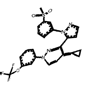 CS(=O)(=O)c1cccc(-n2nccc2C2=NN(c3cccc(OC(F)(F)F)c3)C=CC2=C2CC2)c1